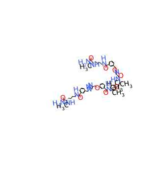 CN[C@@H](CCCCNC(=O)c1cccc(CO/N=C/C(=O)NCC(C)(C)COCC(C)(C)CNC(=O)c2cccc(OCc3cn(Cc4cccc(C(=O)NCCCC[C@H](NC)C(N)=O)c4)nn3)c2)c1)C(N)=O